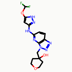 OC1(Cn2nnc3ccc(Nc4cc(OC(F)F)[nH]n4)nc32)CCOCC1